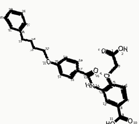 O=C(O)COc1ccc(C(=O)O)cc1NC(=O)c1ccc(OCCCCc2ccccc2)cc1